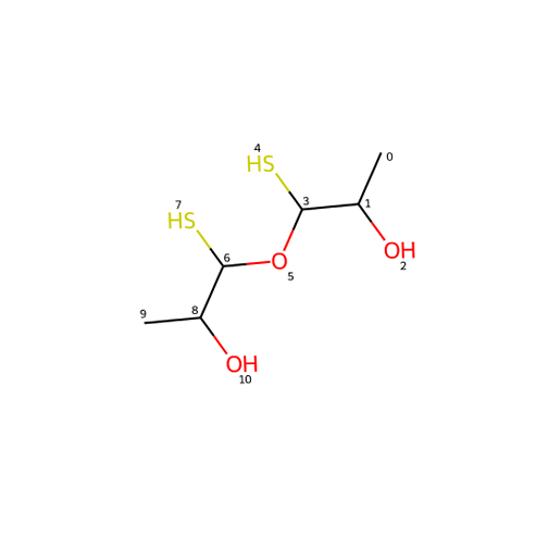 CC(O)C(S)OC(S)C(C)O